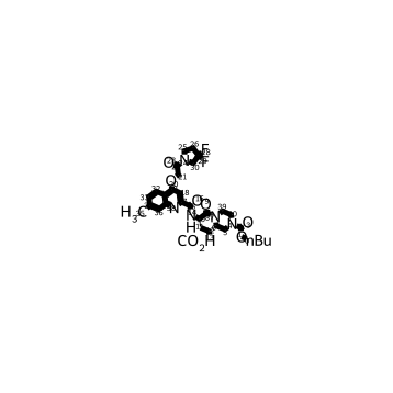 CCCCOC(=O)N1CCN(C(=O)[C@H](CCC(=O)O)NC(=O)c2cc(OCC(=O)N3CCC(F)(F)C3)c3ccc(C)cc3n2)CC1